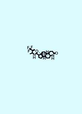 C=C(C(C)NC(=O)C1CC[C@H]2[C@@H]3CCC4NC(=O)CC[C@]4(C)[C@@H]3CC[C@]12C)C(F)(F)F